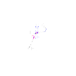 CCCCC/C=C\C/C=C\CCCCCCCC(=O)N[C@H](C)CCCCNC(=O)CCCCCCCCCCCCC